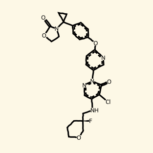 O=C1OCCN1C1(c2ccc(Oc3ccc(-n4ncc(NC[C@@]5(F)CCCOC5)c(Cl)c4=O)cn3)cc2)CC1